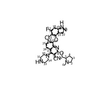 CN1CCCC1COc1nc2c(Oc3c(Cl)c(F)cc4[nH]ncc34)nccc2c(N2CCNCC2)c1C#N